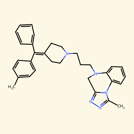 Cc1ccc(C(=C2CCN(CCCN3Cc4nnc(C)n4-c4ccccc43)CC2)c2ccccc2)cc1